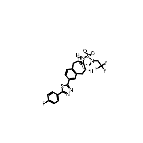 O=S1(=O)N[C@@]2(CN1CC(F)(F)F)[C@@H]1CC[C@H]2Cc2ccc(-c3nnc(-c4ccc(F)cc4)s3)cc2C1